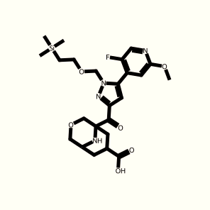 COc1cc(-c2cc(C(=O)C34COCC(CC(C(=O)O)C3)N4)nn2COCC[Si](C)(C)C)c(F)cn1